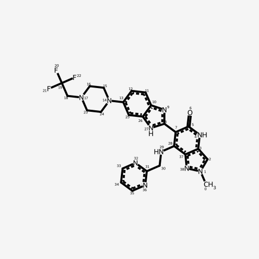 Cn1cc2[nH]c(=O)c(-c3nc4ccc(N5CCN(CC(F)(F)F)CC5)cc4[nH]3)c(NCc3ncccn3)c2n1